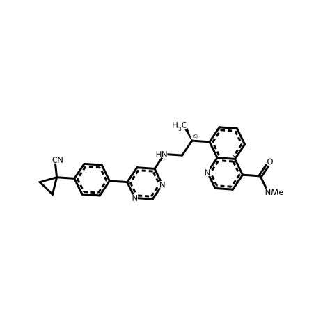 CNC(=O)c1ccnc2c([C@H](C)CNc3cc(-c4ccc(C5(C#N)CC5)cc4)ncn3)cccc12